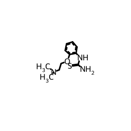 CN(C)CCOc1ccccc1NC(N)=S